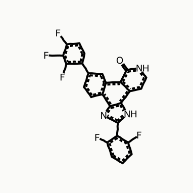 O=c1[nH]ccc2c3[nH]c(-c4c(F)cccc4F)nc3c3ccc(-c4ccc(F)c(F)c4F)cc3c12